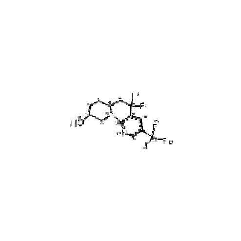 OC1CCC2CC(F)(F)c3cc(C(F)(F)F)cnc3N2C1